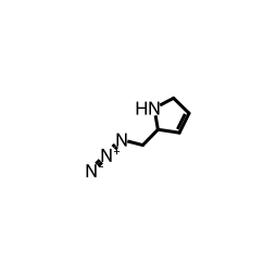 [N-]=[N+]=NCC1C=CCN1